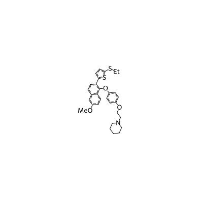 CCSc1ccc(-c2ccc3cc(OC)ccc3c2Oc2ccc(OCCN3CCCCC3)cc2)s1